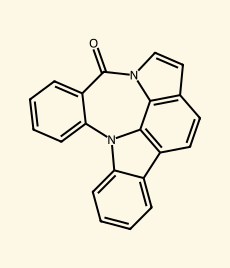 O=c1c2ccccc2n2c3ccccc3c3ccc4ccn1c4c32